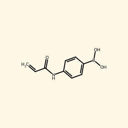 C=CC(=O)Nc1ccc(B(O)O)cc1